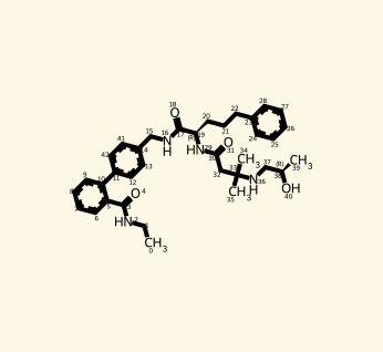 CCNC(=O)c1ccccc1-c1ccc(CNC(=O)[C@@H](CCCc2ccccc2)NC(=O)CC(C)(C)NC[C@@H](C)O)cc1